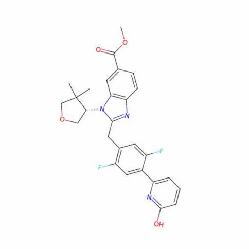 COC(=O)c1ccc2nc(Cc3cc(F)c(-c4cccc(O)n4)cc3F)n([C@@H]3COCC3(C)C)c2c1